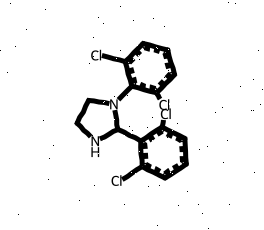 Clc1cccc(Cl)c1C1NCCN1c1c(Cl)cccc1Cl